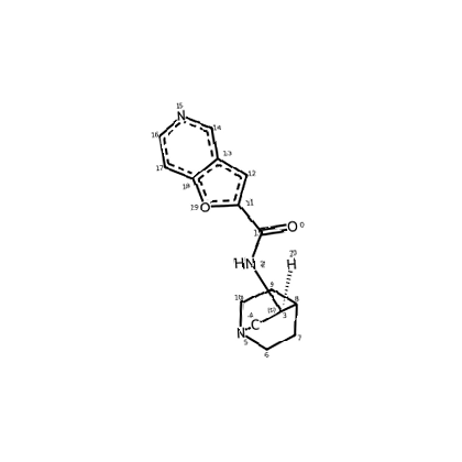 O=C(N[C@@H]1CN2CCC1CC2)c1cc2cnccc2o1